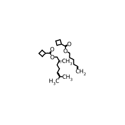 C=CCCCCOC(=O)C1CCC1.CC(C)=CCC[C@@H](C)COC(=O)C1CCC1